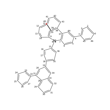 c1ccc(-c2ccc(N(c3ccccc3)c3ccc(-c4cc(-c5ccccc5)c5ccccc5c4)cc3)c(-c3ccccc3)c2)cc1